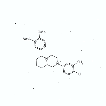 COc1ccc([C@H]2CCCC3CN(c4ccc(Cl)c(C)c4)CCN32)cc1OC